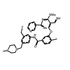 C\N=C(/N=C(NC)\C(C=N)=C\Oc1cc(C(=O)Nc2cc(CF)cc(CN3CCN(C)CC3)c2)ccc1C)c1cccnc1